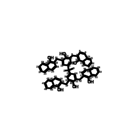 CC(C)(c1cc(Cc2ccc3ccccc3c2O)c(O)c(Cc2ccc3ccccc3c2O)c1)c1cc(Cc2ccc3ccccc3c2O)c(O)c(Cc2ccc3ccccc3c2O)c1